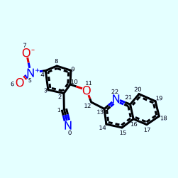 N#Cc1cc([N+](=O)[O-])ccc1OCc1ccc2ccccc2n1